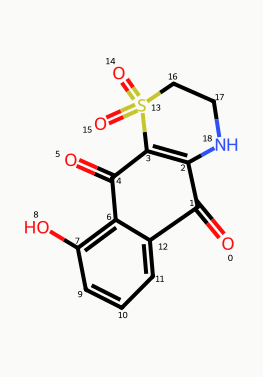 O=C1C2=C(C(=O)c3c(O)cccc31)S(=O)(=O)CCN2